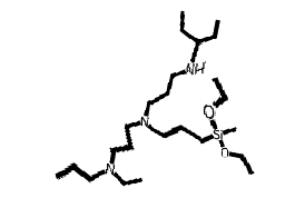 CCCN(CC)CCCN(CCCNC(CC)CC)CCC[Si](C)(OCC)OCC